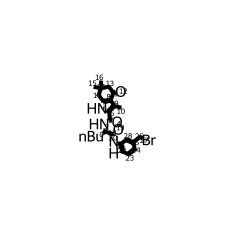 CCCCC(NC(=O)c1[nH]c2c(c1C)C(=O)CC(C)(C)C2)C(=O)Nc1cccc(CBr)c1